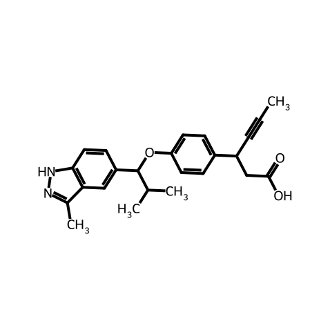 CC#CC(CC(=O)O)c1ccc(OC(c2ccc3[nH]nc(C)c3c2)C(C)C)cc1